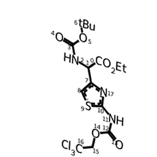 CCOC(=O)C(NC(=O)OC(C)(C)C)c1csc(NC(=O)OCC(Cl)(Cl)Cl)n1